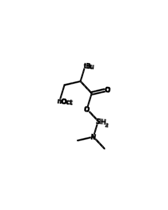 CCCCCCCCCC(C(=O)O[SiH2]N(C)C)C(C)(C)C